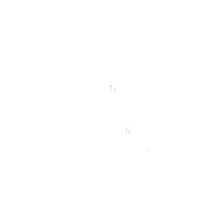 O=CC1c2ccc(O)cc2CN1CCN1CCOCC1